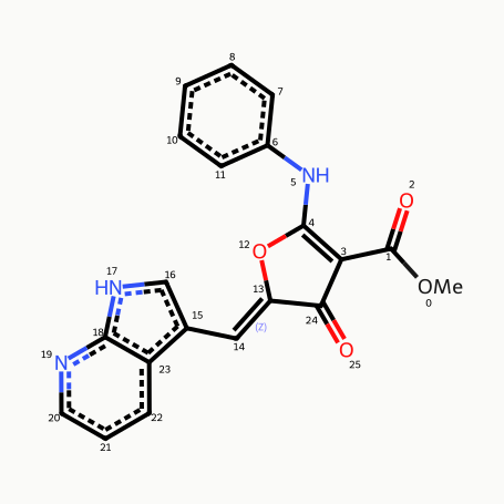 COC(=O)C1=C(Nc2ccccc2)O/C(=C\c2c[nH]c3ncccc23)C1=O